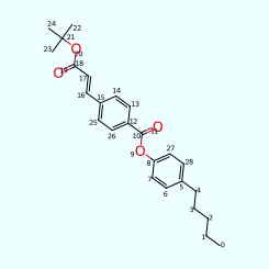 CCCCCc1ccc(OC(=O)c2ccc(C=CC(=O)OC(C)(C)C)cc2)cc1